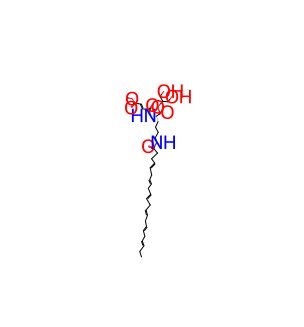 CCC=CCC=CCC=CCC=CCC=CCC=CCCC(=O)NCCCC[C@H](NC(=O)C=CC(=O)OC)C(=O)OC(CO)CO